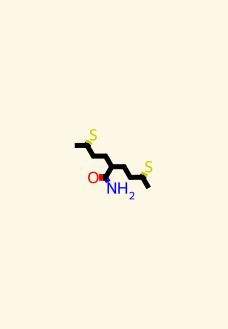 CC(=S)CCC(CCC(C)=S)C(N)=O